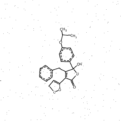 CC(C)Oc1ccc(C2(O)OC(=O)C(C3=CCOO3)=C2Cc2ccccc2)cc1